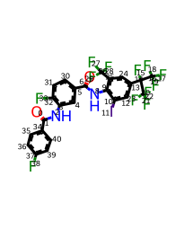 O=C(Nc1cc(C(=O)Nc2c(I)cc(C(F)(C(F)(F)F)C(F)(F)F)cc2C(F)(F)F)ccc1F)c1ccc(F)cc1